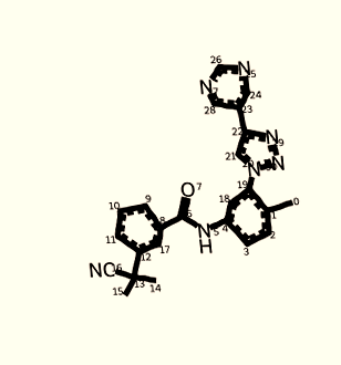 Cc1ccc(NC(=O)c2cccc(C(C)(C)C#N)c2)cc1-n1cc(-c2cncnc2)nn1